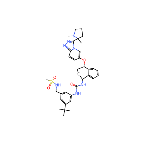 CN1CCCC1(C)c1nnc2ccc(O[C@@H]3CC[C@H](NC(=O)Nc4cc(CNS(C)(=O)=O)cc(C(C)(C)C)c4)c4ccccc43)cn12